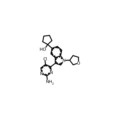 Nc1ncc(Cl)c(-c2cn(C3CCOC3)c3ccc(C4(O)CCCC4)cc23)n1